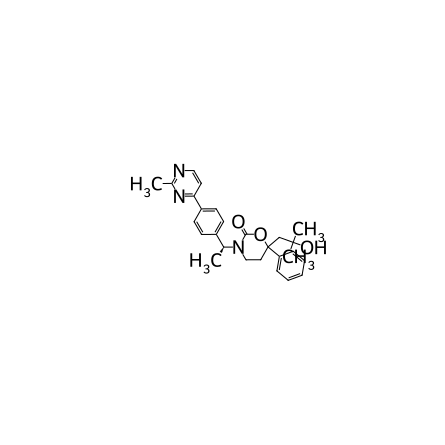 Cc1nccc(-c2ccc([C@H](C)N3CCC(CC(C)(C)O)(c4ccccc4)OC3=O)cc2)n1